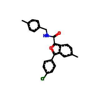 Cc1ccc(CNC(=O)c2oc(-c3ccc(Cl)cc3)c3cc(C)ccc23)cc1